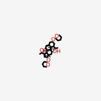 CC(O)C1CC(OC2CCCCO2)[C@@]2(C)CC[C@@H]3[C@@H](CC=C4CC(OC5CCCCO5)CC(C(C)O)[C@@]43C)[C@H]12